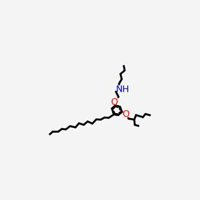 CCCCCCCCCCCCCCCc1cc(OCCNCCCCC)cc(OCC(CC)CCCC)c1